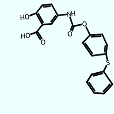 O=C(Nc1ccc(O)c(C(=O)O)c1)Oc1ccc(Sc2ccccc2)cc1